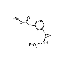 CCOC(=O)N[C@@H]1C[C@H]1c1cccc(OC(=O)OC(C)(C)C)c1